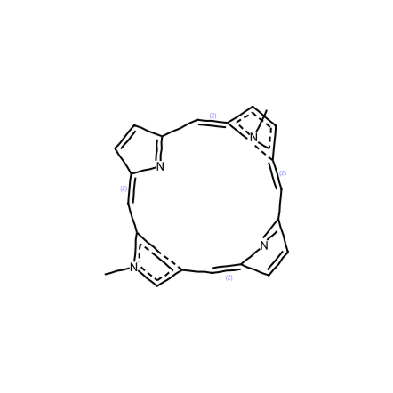 Cn1cc2cc1/C=C1/C=CC(=N1)/C=c1/cc/c(n1C)=C/C1=NC(=C\2)/C=C1